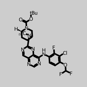 CC(C)(C)OC(=O)N1CC2CC[C@H]1CN2c1ncc2ncnc(Nc3ccc(OC(F)F)c(Cl)c3F)c2n1